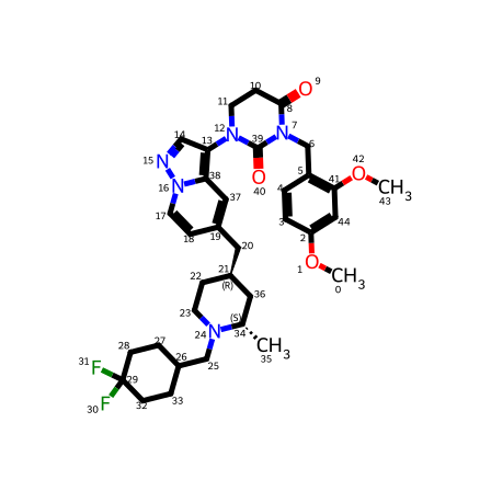 COc1ccc(CN2C(=O)CCN(c3cnn4ccc(C[C@@H]5CCN(CC6CCC(F)(F)CC6)[C@@H](C)C5)cc34)C2=O)c(OC)c1